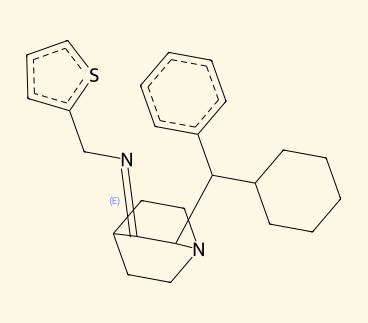 c1ccc(C(C2CCCCC2)C2/C(=N/Cc3cccs3)C3CCN2CC3)cc1